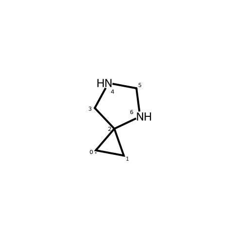 [CH]1CC12CNCN2